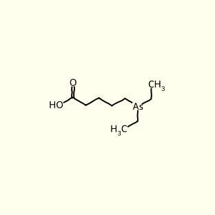 CC[As](CC)CCCCC(=O)O